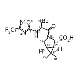 CC(C)(C)[C@H](Nc1nc(C(F)(F)F)no1)C(=O)N1C[C@H]2[C@@H]([C@H]1C(=O)O)C2(C)C